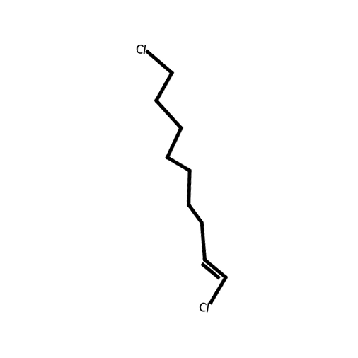 ClC=CCCCCCCCCl